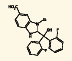 CCN1c2cc(C(=O)O)ccc2NC1C(O)(c1ccccc1F)c1ccccc1F